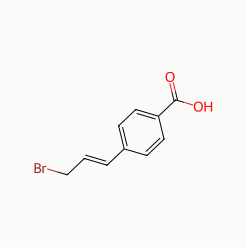 O=C(O)c1ccc(C=CCBr)cc1